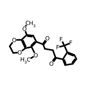 COc1cc(C(=O)CCC(=O)c2ccccc2C(F)(F)F)c(OC)c2c1OCCO2